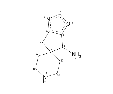 NC1c2ocnc2CC12CCNCC2